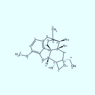 COc1ccc2c3c1O[C@H]1[C@@H]4CO[C@]4(CO)C[C@H]4[C@@H](C2)N(C)CC[C@@]341